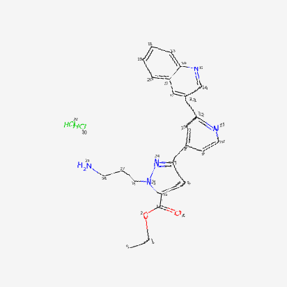 CCOC(=O)c1cc(-c2ccnc(-c3cnc4ccccc4c3)c2)nn1CCCN.Cl.Cl